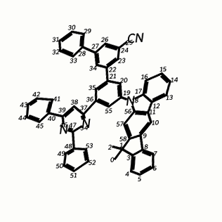 CC1(C)c2ccccc2-c2cc3c4ccccc4n(-c4cc(-c5cc(C#N)cc(-c6ccccc6)c5)cc(-c5cc(-c6ccccc6)nc(-c6ccccc6)n5)c4)c3cc21